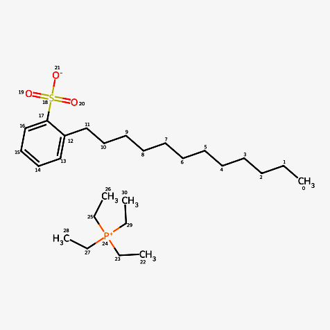 CCCCCCCCCCCCc1ccccc1S(=O)(=O)[O-].CC[P+](CC)(CC)CC